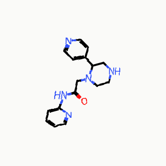 O=C(CN1CCNCC1c1ccncc1)Nc1ccccn1